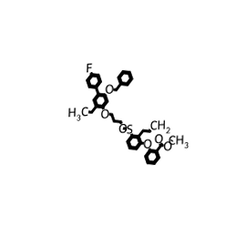 C=CCc1c(Oc2ccccc2C(=O)OC)cccc1SOCCCOc1cc(OCc2ccccc2)c(-c2ccc(F)cc2)cc1CC